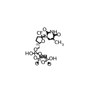 Cc1cn([C@@]2(C(F)(F)F)CC[C@@H](COP(=O)(O)OP(=O)(O)OP(=O)(O)O)O2)c(=O)[nH]c1=O